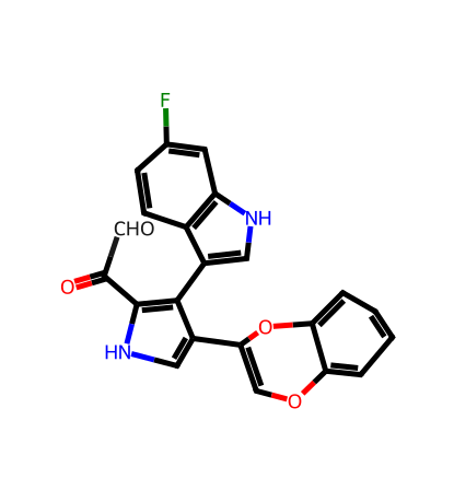 O=CC(=O)c1[nH]cc(C2=COc3ccccc3O2)c1-c1c[nH]c2cc(F)ccc12